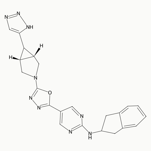 c1ccc2c(c1)CC(Nc1ncc(-c3nnc(N4C[C@@H]5C(c6cnn[nH]6)[C@@H]5C4)o3)cn1)C2